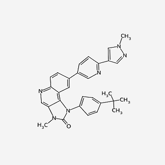 Cn1cc(-c2ccc(-c3ccc4ncc5c(c4c3)n(-c3ccc(C(C)(C)C)cc3)c(=O)n5C)cn2)cn1